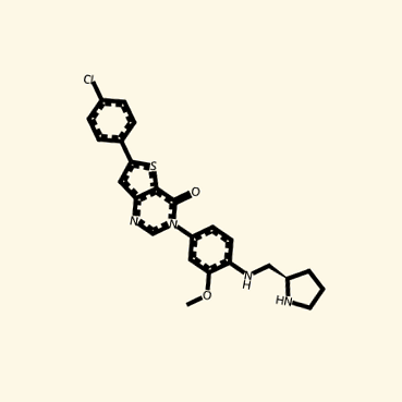 COc1cc(-n2cnc3cc(-c4ccc(Cl)cc4)sc3c2=O)ccc1NC[C@H]1CCCN1